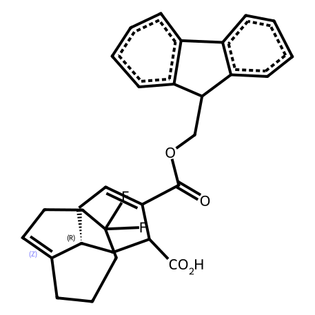 O=C(OCC1c2ccccc2-c2ccccc21)C1=CC[C@@H](/C2=C\CCC(F)(F)CCC2)CC1C(=O)O